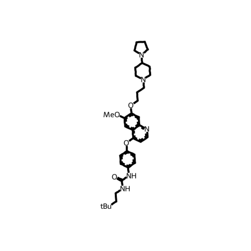 COc1cc2c(Oc3ccc(NC(=O)NCCC(C)(C)C)cc3)ccnc2cc1OCCCN1CCC(N2CCCC2)CC1